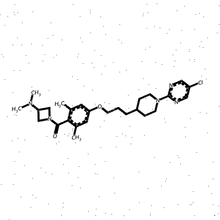 Cc1cc(OCCCC2CCN(c3ncc(Cl)cn3)CC2)cc(C)c1C(=O)N1CC(N(C)C)C1